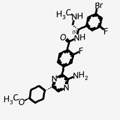 CNC[C@@H](NC(=O)c1ccc(-c2nc([C@H]3CC[C@H](OC)CC3)cnc2N)cc1F)c1cc(F)cc(Br)c1